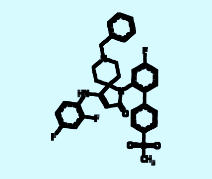 CS(=O)(=O)c1ccc(-c2ccc(F)cc2N2C(=O)C=C(Nc3ccc(F)cc3F)C23CCN(Cc2ccccc2)CC3)cc1